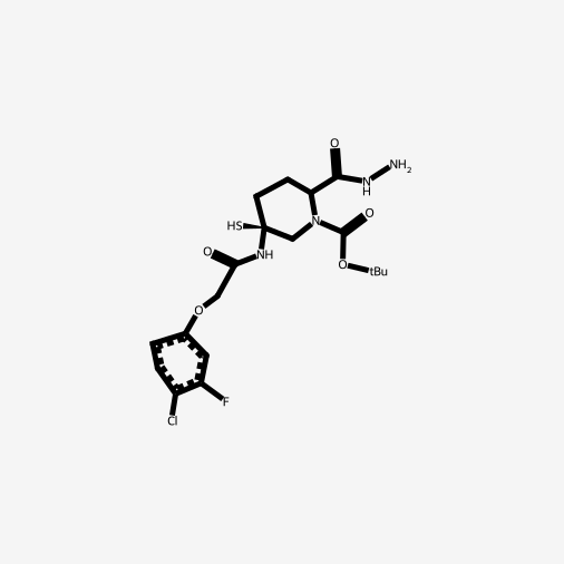 CC(C)(C)OC(=O)N1C[C@](S)(NC(=O)COc2ccc(Cl)c(F)c2)CCC1C(=O)NN